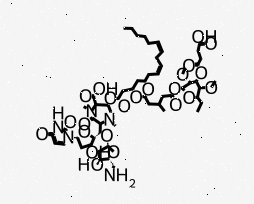 CCCCC/C=C\C/C=C\CCCC(CC(=O)OC1CN(C)C(C(O[C@H]2C[C@H](O)[C@@H](CN)O2)[C@H]2O[C@@H](n3ccc(=O)[nH]c3=O)C[C@@H]2O)C(=O)N(C)C1C(=O)O)OC(=O)CC(C)CC(=O)OC1OC(CC)C(OC)C(OC(=O)CCC(=O)O)C1OC